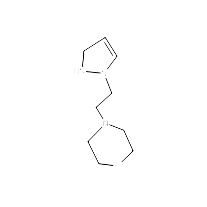 [C]1=CCNN1CCN1CCOCC1